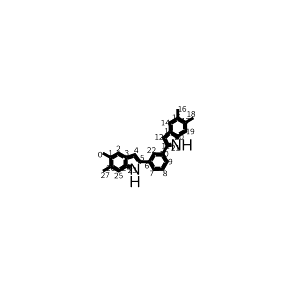 Cc1cc2cc(-c3cccc(-c4cc5cc(C)c(C)cc5[nH]4)c3)[nH]c2cc1C